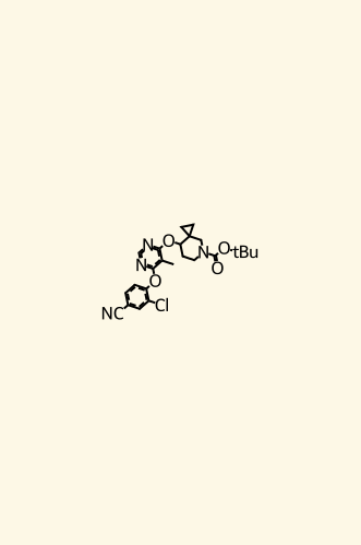 Cc1c(Oc2ccc(C#N)cc2Cl)ncnc1OC1CCN(C(=O)OC(C)(C)C)CC12CC2